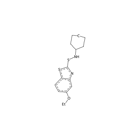 CCOc1ccc2sc(SNC3CCCCC3)nc2c1